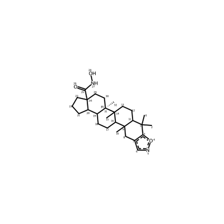 CC1(C)c2oncc2CC2(C)C1CCC1(C)C2CCC2C3CCCC3(C(=O)NO)CC[C@]21C